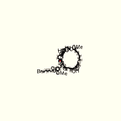 CO[C@H]1C[C@@H]2CC[C@@H](C)[C@@](O)(O2)C(=O)C(=O)N2CCCC[C@H]2C(=O)O[C@H]([C@H](C)C[C@@H]2CC[C@@H](OC(=O)CCCCCBr)[C@H](OC)C2)CC(=O)[C@H](C)/C=C(\C)[C@@H](O)[C@@H](C)C(=O)[C@H](C)C[C@H](C)/C=C/C=C/C=C/1C